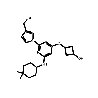 OCc1ccn(-c2nc(NC3CCC(F)(F)CC3)cc(OC3CC(O)C3)n2)n1